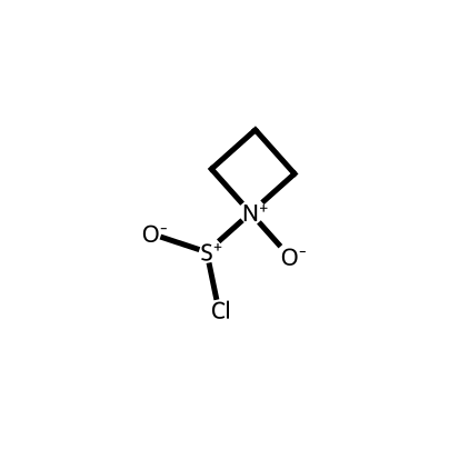 [O-][S+](Cl)[N+]1([O-])CCC1